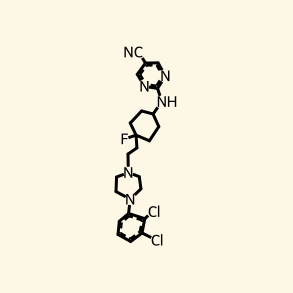 N#Cc1cnc(NC2CCC(F)(CCN3CCN(c4cccc(Cl)c4Cl)CC3)CC2)nc1